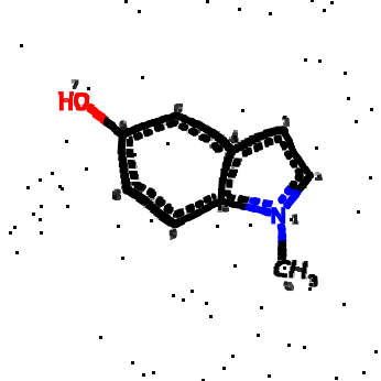 Cn1ccc2cc(O)ccc21